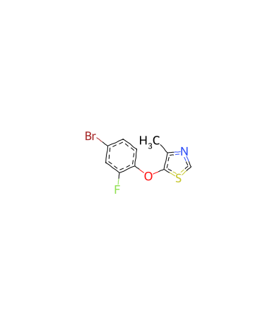 Cc1ncsc1Oc1ccc(Br)cc1F